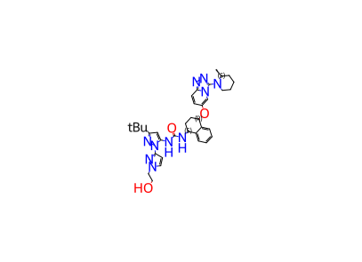 C[C@H]1CCCCN1c1nnc2ccc(O[C@@H]3CC[C@H](NC(=O)Nc4cc(C(C)(C)C)nn4-c4ccn(CCO)n4)c4ccccc43)cn12